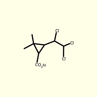 CC1(C)C(C(=O)O)C1C(Cl)C(Cl)Cl